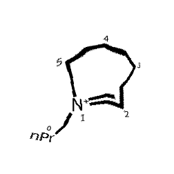 CCC[N+]1=CCCC1